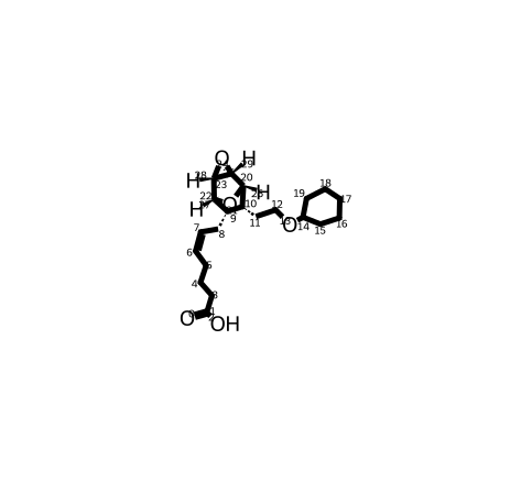 O=C(O)CCC/C=C\C[C@H]1[C@@H](CCOC2CCCCC2)[C@@H]2O[C@H]1[C@@H]1O[C@@H]12